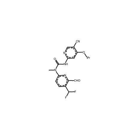 CC(C)Oc1cc(NC(=O)N(C)c2ccc(C(F)F)c(C=O)n2)ncc1C#N